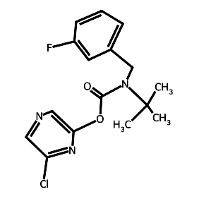 CC(C)(C)N(Cc1cccc(F)c1)C(=O)Oc1cncc(Cl)n1